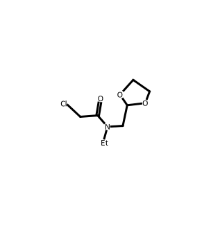 CCN(CC1OCCO1)C(=O)CCl